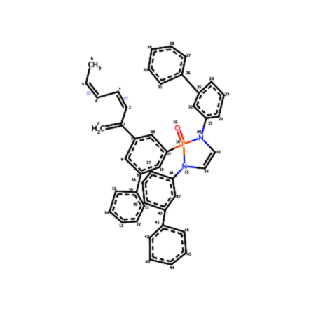 C=C(/C=C\C=C/C)c1cc(-c2ccccc2)cc(P2(=O)N(c3cccc(-c4ccccc4)c3)C=CN2c2cccc(-c3ccccc3)c2)c1